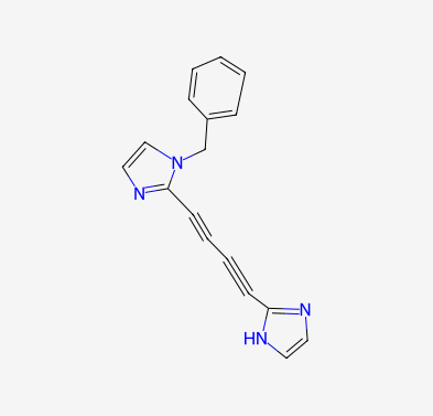 C(C#Cc1nccn1Cc1ccccc1)#Cc1ncc[nH]1